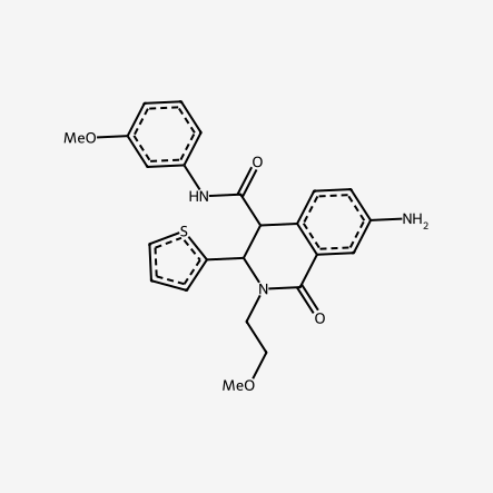 COCCN1C(=O)c2cc(N)ccc2C(C(=O)Nc2cccc(OC)c2)C1c1cccs1